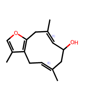 C/C1=C\C(O)C/C(C)=C/Cc2c(C)coc2C1